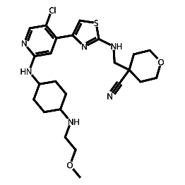 COCCNC1CCC(Nc2cc(-c3csc(NCC4(C#N)CCOCC4)n3)c(Cl)cn2)CC1